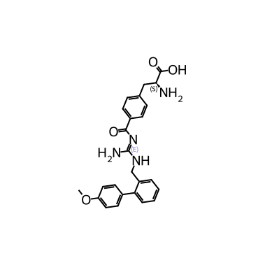 COc1ccc(-c2ccccc2CN/C(N)=N/C(=O)c2ccc(C[C@H](N)C(=O)O)cc2)cc1